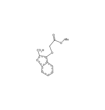 CCCCOC(=O)COc1c(C(=O)O)oc2ccccc12